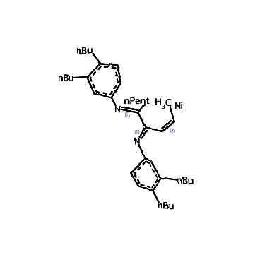 C\C=C/C(=N\c1ccc(CCCC)c(CCCC)c1)C(/CCCCC)=N/c1ccc(CCCC)c(CCCC)c1.[Ni]